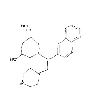 Cl.Cl.OC1CCCC(C(CN2CCNCC2)c2cnc3ccccc3c2)C1